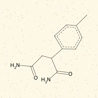 Cc1ccc(C(CC(N)=O)C(N)=O)cc1